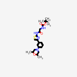 CC1CN(c2cccc(-c3csc(NC(=O)CNC(=O)OC(C)(C)C)n3)c2)CC(C)O1